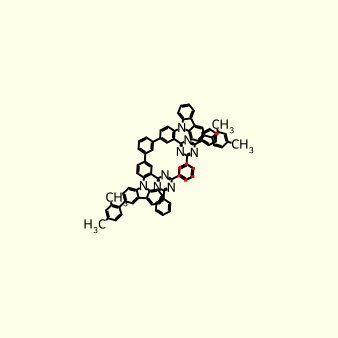 Cc1ccc(-c2ccc3c(c2)c2ccccc2n3-c2ccc(-c3cccc(-c4ccc(-n5c6ccccc6c6cc(-c7ccc(C)cc7C)ccc65)c(-c5nc(-c6ccccc6)nc(-c6ccccc6)n5)c4)c3)cc2-c2nc(-c3ccccc3)nc(-c3ccccc3)n2)c(C)c1